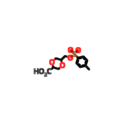 Cc1ccc(S(=O)(=O)OCC2COC(C(=O)O)CO2)cc1